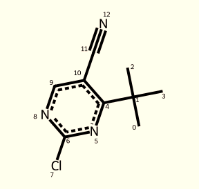 CC(C)(C)c1nc(Cl)ncc1C#N